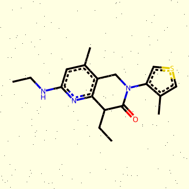 CCNc1cc(C)c2c(n1)C(CC)C(=O)N(c1cscc1C)C2